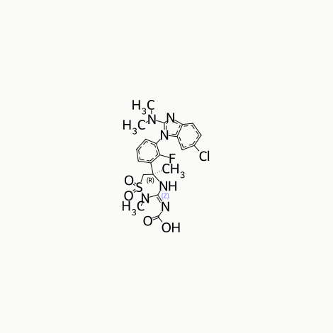 CN(C)c1nc2ccc(Cl)cc2n1-c1cccc([C@]2(C)CS(=O)(=O)N(C)/C(=N\C(=O)O)N2)c1F